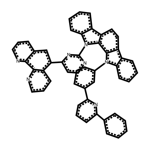 c1ccc(-c2cccc(-c3cccc(-n4c5ccccc5c5ccc6c7ccccc7n(-c7nccc(-c8cc9cccnc9c9ncccc89)n7)c6c54)c3)n2)cc1